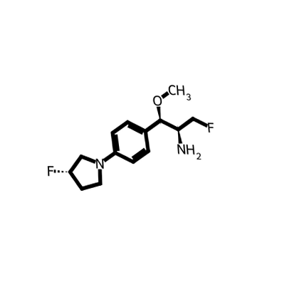 CO[C@H](c1ccc(N2CC[C@H](F)C2)cc1)[C@H](N)CF